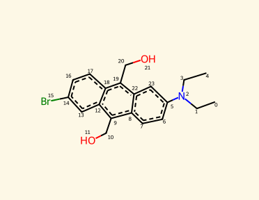 CCN(CC)c1ccc2c(CO)c3cc(Br)ccc3c(CO)c2c1